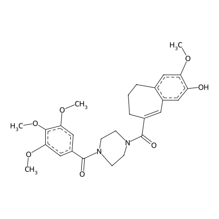 COc1cc2c(cc1O)C=C(C(=O)N1CCN(C(=O)c3cc(OC)c(OC)c(OC)c3)CC1)CCC2